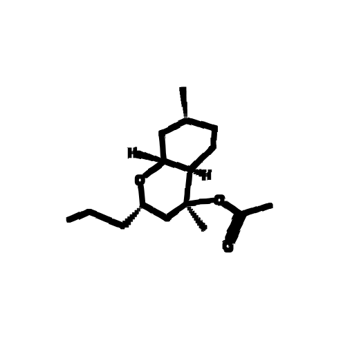 CCC[C@H]1C[C@](C)(OC(C)=O)[C@@H]2CC[C@@H](C)C[C@H]2O1